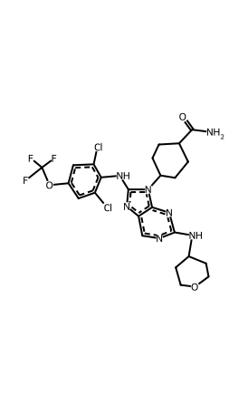 NC(=O)C1CCC(n2c(Nc3c(Cl)cc(OC(F)(F)F)cc3Cl)nc3cnc(NC4CCOCC4)nc32)CC1